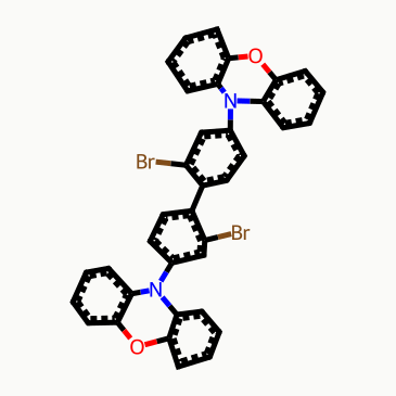 Brc1cc(N2c3ccccc3Oc3ccccc32)ccc1-c1ccc(N2c3ccccc3Oc3ccccc32)cc1Br